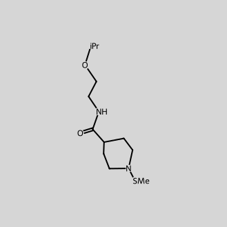 CSN1CCC(C(=O)NCCOC(C)C)CC1